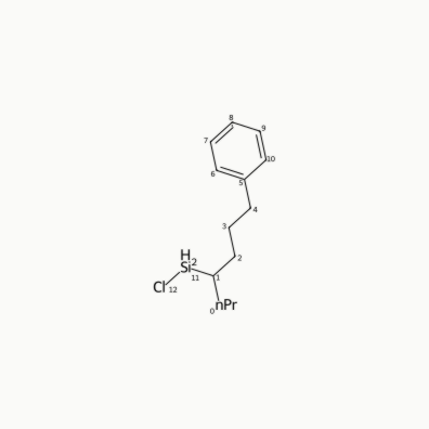 CCCC(CCCc1cc[c]cc1)[SiH2]Cl